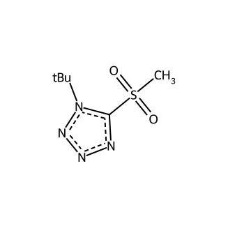 CC(C)(C)n1nnnc1S(C)(=O)=O